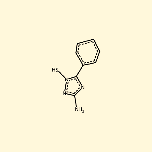 Nc1nc(-c2ccccc2)n(S)n1